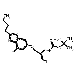 CCCCc1nc2c(F)cc(OC/C(=C/F)CNC(=O)OC(C)(C)C)cc2o1